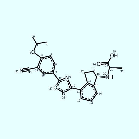 CC(C)Oc1ccc(-c2nc(-c3cccc4c3CC[C@H]4N[C@H](C)C(=O)O)no2)cc1C#N